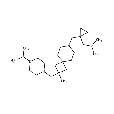 CC(C)CC1(CN2CCC3(CC2)CC(C)(CN2CCN(C(C)C)CC2)C3)CC1